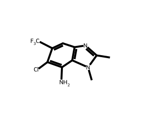 Cc1nc2cc(C(F)(F)F)c(Cl)c(N)c2n1C